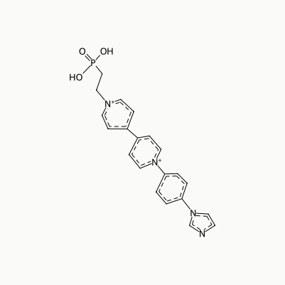 O=P(O)(O)CC[n+]1ccc(-c2cc[n+](-c3ccc(-n4ccnc4)cc3)cc2)cc1